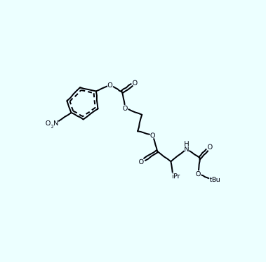 CC(C)C(NC(=O)OC(C)(C)C)C(=O)OCCOC(=O)Oc1ccc([N+](=O)[O-])cc1